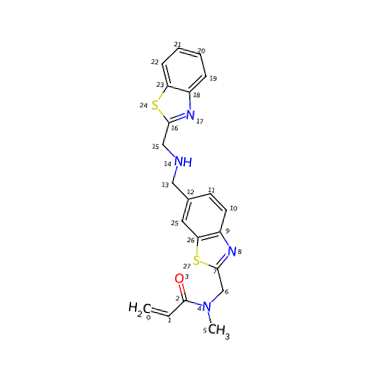 C=CC(=O)N(C)Cc1nc2ccc(CNCc3nc4ccccc4s3)cc2s1